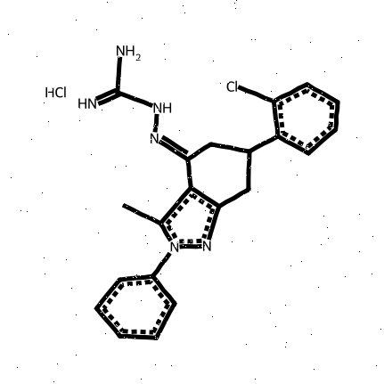 Cc1c2c(nn1-c1ccccc1)CC(c1ccccc1Cl)CC2=NNC(=N)N.Cl